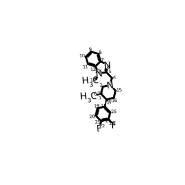 C[C@H]1CN(Cc2nc3ccccc3n2C)CC[C@H]1c1ccc(F)c(F)c1